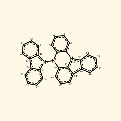 c1ccc2c(c1)B(n1c3ccccc3c3ccccc31)c1cccc3c4ccccc4n-2c13